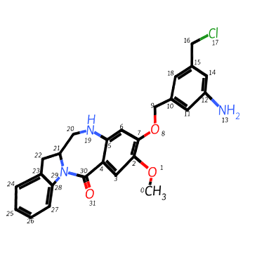 COc1cc2c(cc1OCc1cc(N)cc(CCl)c1)NCC1Cc3ccccc3N1C2=O